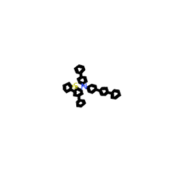 c1ccc(-c2ccc(-c3ccc(N(c4ccc(-c5ccccc5)cc4)c4cc(-c5ccccc5)cc5c4sc4ccccc45)cc3)cc2)cc1